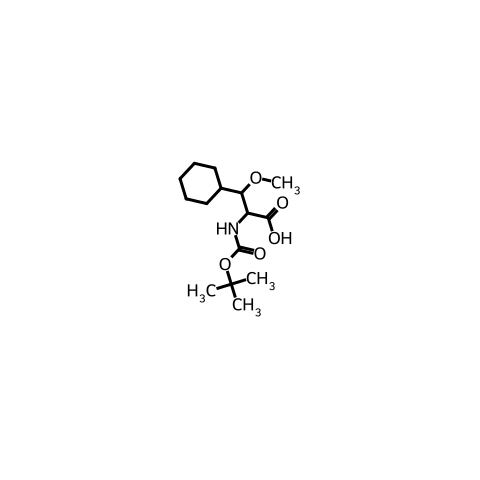 COC(C1CCCCC1)C(NC(=O)OC(C)(C)C)C(=O)O